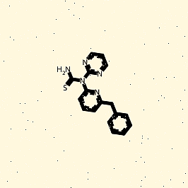 NC(=S)N(c1cccc(Cc2ccccc2)n1)c1ncccn1